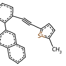 Cc1ccc(C#Cc2ccccc2-c2ccc3ccccc3c2)s1